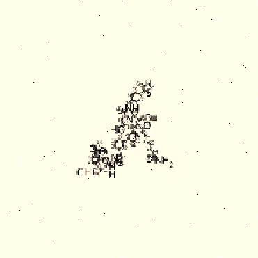 Cc1ncsc1-c1ccc(CNC(=O)[C@@H]2C[C@@H](O)CN2C(=O)[C@@H](N(Cc2cc(-c3cccc(-c4csc(NC(=O)CN(C=O)c5ccn(S(C)(=O)=O)c5)n4)c3)ccn2)C(=O)CCCCCCC(N)=O)C(C)(C)C)cc1